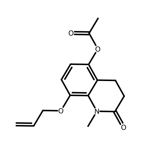 C=CCOc1ccc(OC(C)=O)c2c1N(C)C(=O)CC2